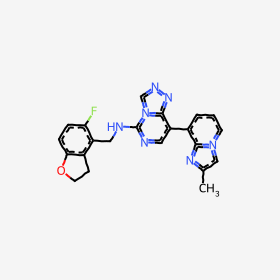 Cc1cn2cccc(-c3cnc(NCc4c(F)ccc5c4CCO5)n4cnnc34)c2n1